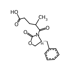 CC(CCC(=O)O)C(=O)N1C(=O)OC[C@H]1Cc1ccccc1